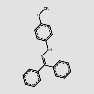 FC(F)(F)Oc1ccc(NN=C(c2ccccc2)c2ccccc2)cc1